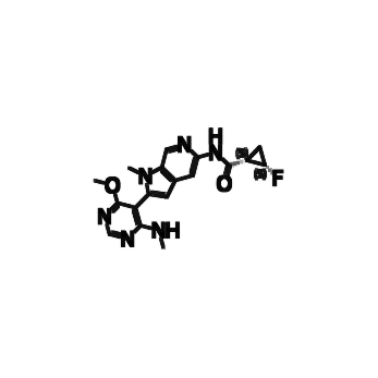 CNc1ncnc(OC)c1-c1cc2cc(NC(=O)[C@@H]3C[C@@H]3F)ncc2n1C